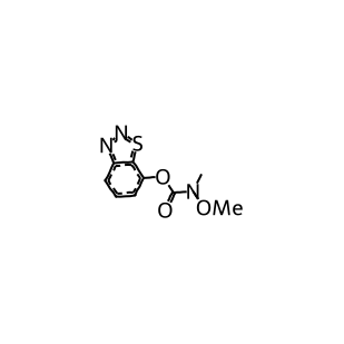 CON(C)C(=O)Oc1cccc2nnsc12